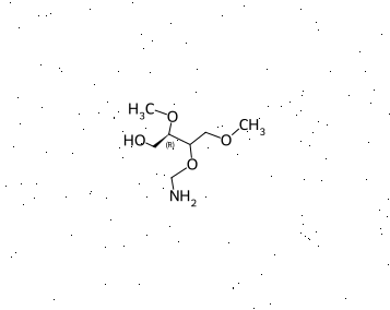 COCC(OCN)[C@@H](CO)OC